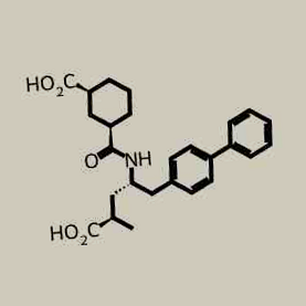 C[C@H](C[C@@H](Cc1ccc(-c2ccccc2)cc1)NC(=O)[C@@H]1CCC[C@H](C(=O)O)C1)C(=O)O